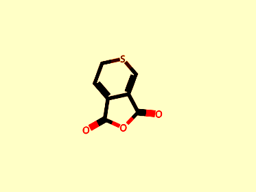 O=C1OC(=O)C2=CSCC=C12